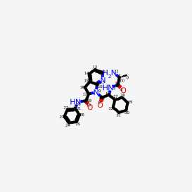 C[C@H](N)C(=O)NC(C(=O)N1c2ncccc2CC1C(=O)Nc1ccccc1)C1CCCCC1